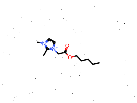 CCCCCOC(=O)C[n+]1ccn(C)c1C